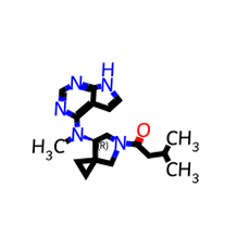 CC(C)CC(=O)N1C[C@H](N(C)c2ncnc3[nH]ccc23)C2(CC2)C1